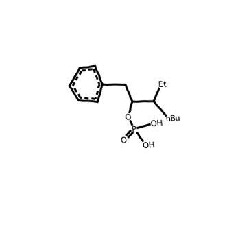 CCCCC(CC)C(Cc1ccccc1)OP(=O)(O)O